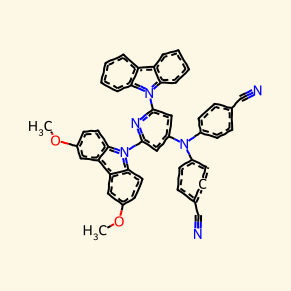 COc1ccc2c(c1)c1cc(OC)ccc1n2-c1cc(N(c2ccc(C#N)cc2)c2ccc(C#N)cc2)cc(-n2c3ccccc3c3ccccc32)n1